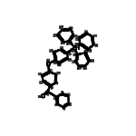 O=C(c1ccccc1)c1ccc(Oc2ccc([PH](c3ccccc3)(c3ccccc3)c3ccccc3)cc2)cc1